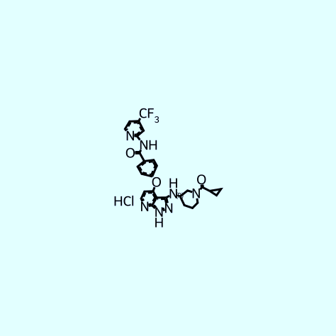 Cl.O=C(Nc1cc(C(F)(F)F)ccn1)c1ccc(Oc2ccnc3[nH]nc(N[C@@H]4CCCN(C(=O)C5CC5)C4)c23)cc1